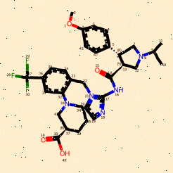 COc1ccc([C@@H]2CN(C(C)C)C[C@H]2C(=O)Nc2nccn2Cc2ccc(C(F)(F)F)cc2N2CCC[C@@H](C(=O)O)C2)cc1